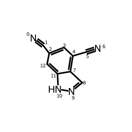 N#Cc1cc(C#N)c2cn[nH]c2c1